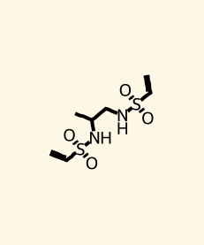 C=CS(=O)(=O)NCC(C)NS(=O)(=O)C=C